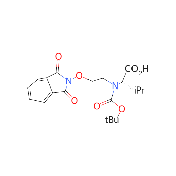 CC(C)[C@@H](C(=O)O)N(CCON1C(=O)c2ccccc2C1=O)C(=O)OC(C)(C)C